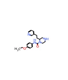 CCOc1ccc(NC(=O)N2CCNCC2CCc2cccnc2)cc1